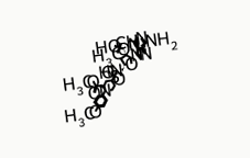 COC(=O)C1CC(S(=O)(=O)NC[C@@H]2C[C@H](OC(C)(C)O)[C@H](n3cnc4c(N)ncnc43)O2)CCN1c1ccc(OC)cc1